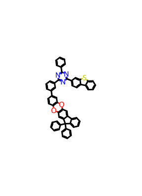 c1ccc(-c2nc(-c3cccc(-c4ccc5c(c4)Oc4cc6c(cc4O5)C(c4ccccc4)(c4ccccc4)c4ccccc4-6)c3)nc(-c3ccc4c(c3)sc3ccccc34)n2)cc1